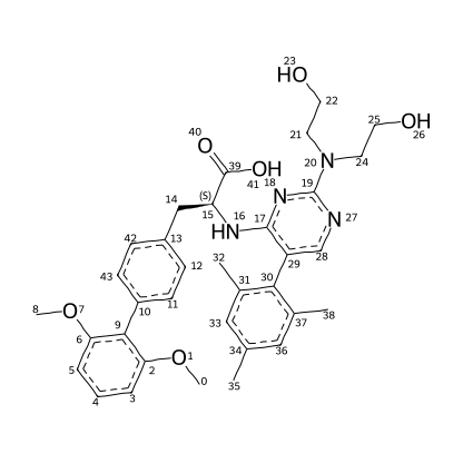 COc1cccc(OC)c1-c1ccc(C[C@H](Nc2nc(N(CCO)CCO)ncc2-c2c(C)cc(C)cc2C)C(=O)O)cc1